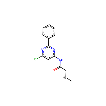 CBCC(=O)Nc1cc(Cl)nc(-c2ccccc2)n1